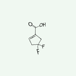 O=C(O)C1=CCC(F)(F)C1